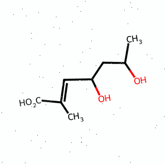 CC(=CC(O)CC(C)O)C(=O)O